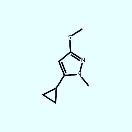 CSc1cc(C2CC2)n(C)n1